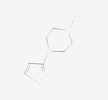 CN1CCN(C2=N[N]C=C2)CC1